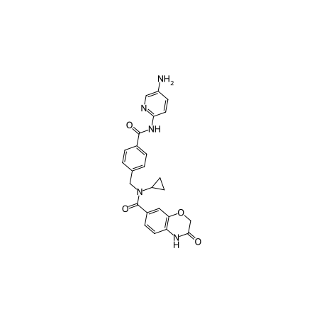 Nc1ccc(NC(=O)c2ccc(CN(C(=O)c3ccc4c(c3)OCC(=O)N4)C3CC3)cc2)nc1